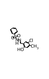 Cc1cc(O)c(/C=N/NS(=O)(=O)c2ccccc2)cc1Cl